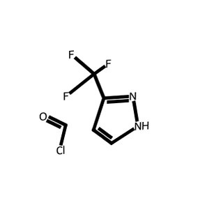 FC(F)(F)c1cc[nH]n1.O=CCl